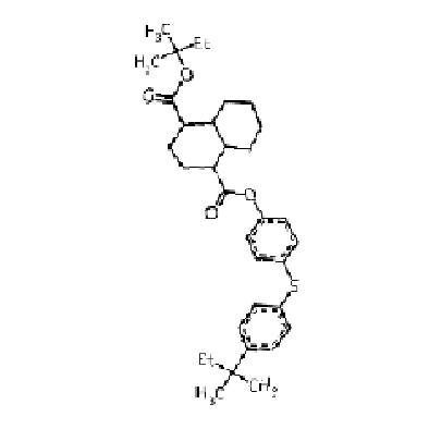 CCC(C)(C)OC(=O)C1CCC(C(=O)Oc2ccc(Sc3ccc(C(C)(C)CC)cc3)cc2)C2CCCCC12